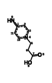 N=c1ccn(CCC(=O)O)cc1